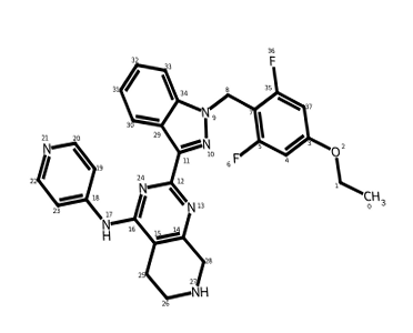 CCOc1cc(F)c(Cn2nc(-c3nc4c(c(Nc5ccncc5)n3)CCNC4)c3ccccc32)c(F)c1